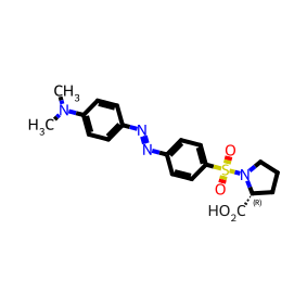 CN(C)c1ccc(N=Nc2ccc(S(=O)(=O)N3CCC[C@@H]3C(=O)O)cc2)cc1